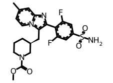 COC(=O)N1CCC[C@@H](Cc2c(-c3c(F)cc(S(N)(=O)=O)cc3F)nc3cc(C)ccn23)C1